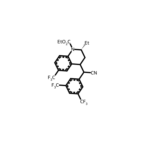 CCOC(=O)N1c2ccc(C(F)(F)F)cc2C(C(C#N)c2cc(C(F)(F)F)cc(C(F)(F)F)c2)C[C@H]1CC